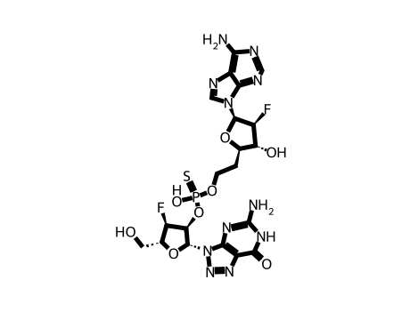 Nc1nc2c(nnn2[C@@H]2O[C@H](CO)[C@@H](F)[C@H]2OP(O)(=S)OCC[C@H]2O[C@@H](n3cnc4c(N)ncnc43)[C@@H](F)[C@@H]2O)c(=O)[nH]1